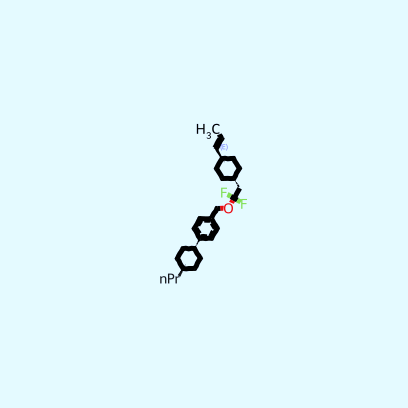 C/C=C/[C@H]1CC[C@H](CC(F)(F)OCc2ccc([C@H]3CC[C@H](CCC)CC3)cc2)CC1